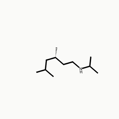 CC(C)C[C@H](C)CCNC(C)C